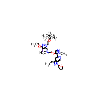 C=Cc1nn(C2CCCCO2)c2cnc(-c3c(OCCN(C)Cc4c(I)c(OCC)nn4CCO[Si](C)(C)C(C)(C)C)cnn3C)cc12